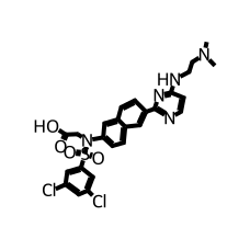 CN(C)CCNc1ccnc(-c2ccc3cc(N(CC(=O)O)S(=O)(=O)c4cc(Cl)cc(Cl)c4)ccc3c2)n1